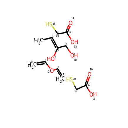 C=COC=C.CC=C(O)CO.O=C(O)CS.O=C(O)CS